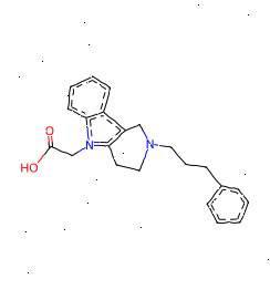 O=C(O)Cn1c2c(c3ccccc31)CN(CCCc1ccccc1)CC2